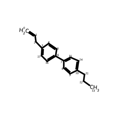 C=CCc1ccc(-c2ccc(CCC)cc2)cc1